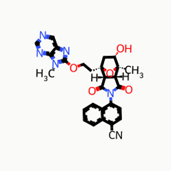 Cn1c(OCC[C@]23C[C@H](O)[C@](C)(O2)[C@@H]2C(=O)N(c4ccc(C#N)c5ccccc45)C(=O)[C@@H]23)nc2cncnc21